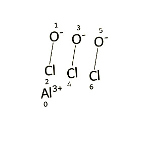 [Al+3].[O-]Cl.[O-]Cl.[O-]Cl